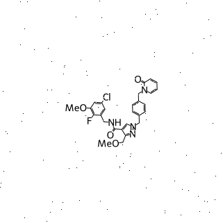 COCc1nn(Cc2ccc(Cn3ccccc3=O)cc2)cc1C(=O)NCc1cc(Cl)cc(OC)c1F